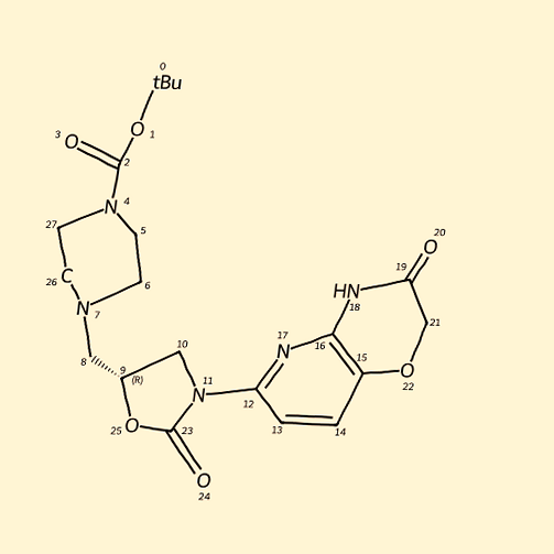 CC(C)(C)OC(=O)N1CCN(C[C@@H]2CN(c3ccc4c(n3)NC(=O)CO4)C(=O)O2)CC1